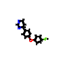 Fc1ccc(Oc2ccc(-c3ccncn3)cc2)cc1